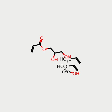 C=CC(=O)O.C=CC(=O)O.C=CC(=O)OCC(O)CO.CCCO